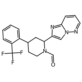 O=CN1CCC(c2ccccc2C(F)(F)F)CC1c1cn2ncccc2n1